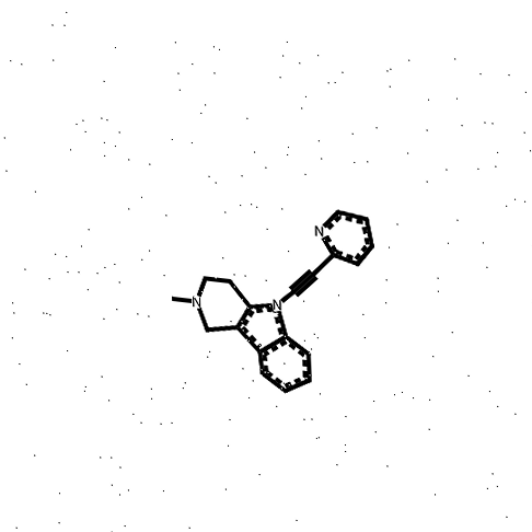 CN1CCc2c(c3ccccc3n2C#Cc2ccccn2)C1